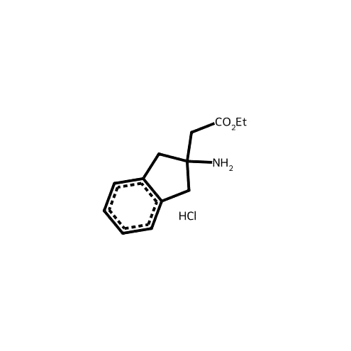 CCOC(=O)CC1(N)Cc2ccccc2C1.Cl